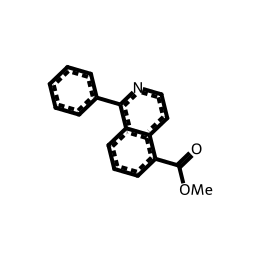 COC(=O)c1cccc2c(-c3ccccc3)nccc12